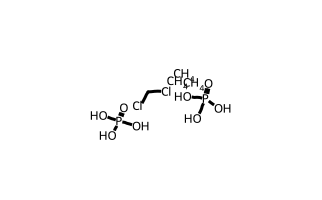 C.C.C.ClCCl.O=P(O)(O)O.O=P(O)(O)O